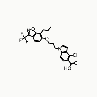 CCCc1c(OCCCn2ccc3c(Cl)c(C(=O)O)ccc32)ccc2c(C(F)(F)F)noc12